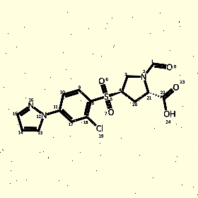 O=CN1C[C@H](S(=O)(=O)c2ccc(-n3cccn3)cc2Cl)C[C@H]1C(=O)O